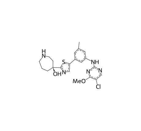 COc1nc(Nc2cc(C)cc(-c3cnc([C@]4(O)CCCNCC4)s3)c2)ncc1Cl